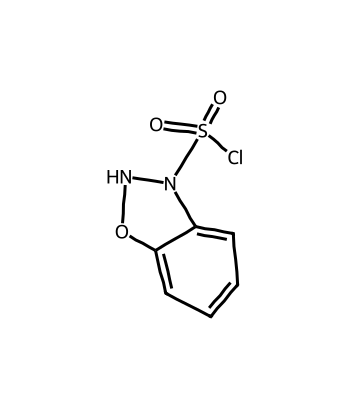 O=S(=O)(Cl)N1NOc2ccccc21